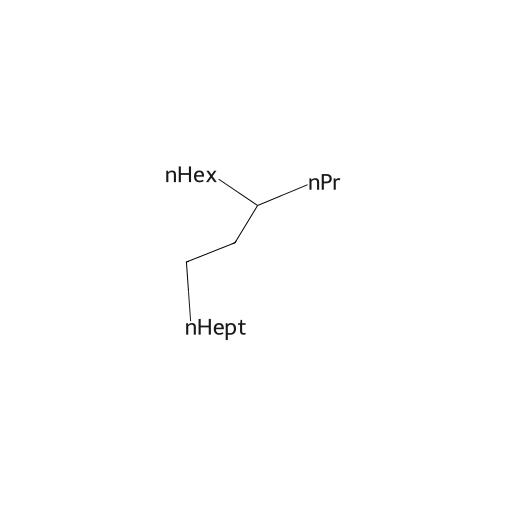 [CH2]CCC(CCCCCC)CCCCCCCCC